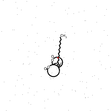 CCCCCCCCCCCCCCCC1CC23COC(=O)CCCCCCCCCC1(CCCCCCCC(=O)OC2)C(=O)OC3